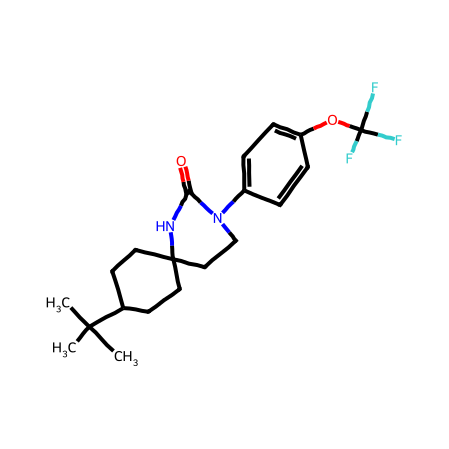 CC(C)(C)C1CCC2(CC1)CCN(c1ccc(OC(F)(F)F)cc1)C(=O)N2